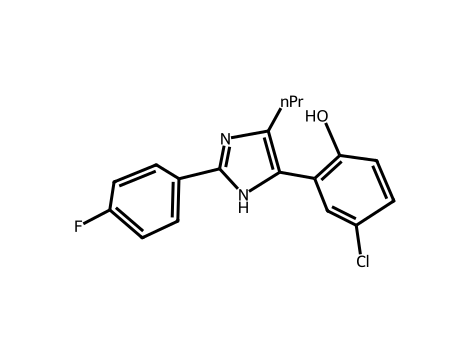 CCCc1nc(-c2ccc(F)cc2)[nH]c1-c1cc(Cl)ccc1O